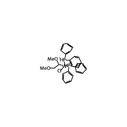 COC[CH](OC)[W]([Cl])([PH](C)(c1ccccc1)c1ccccc1)[PH](C)(c1ccccc1)c1ccccc1